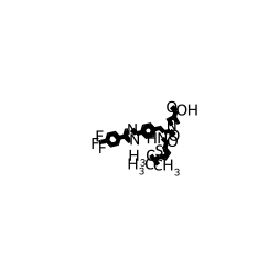 CC(C)(C)c1ccc(C(=O)NC(Cc2ccc(-c3ncc(C4=CCC(C(F)(F)F)CC4)cn3)cc2)C(=O)N2CC(C(=O)O)C2)s1